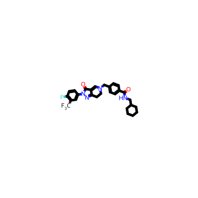 O=C(NCC1CCCCC1)c1ccc(CN2C=C3C(=O)N(c4ccc(F)c(C(F)(F)F)c4)N=C3CC2)cc1